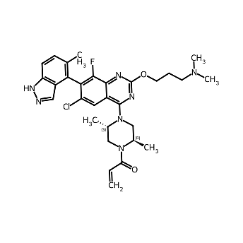 C=CC(=O)N1C[C@H](C)N(c2nc(OCCCN(C)C)nc3c(F)c(-c4c(C)ccc5[nH]ncc45)c(Cl)cc23)C[C@H]1C